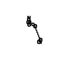 C=CC(=O)OCCCCCCCCCCCOc1ccc(-c2cc3cnccc3oc2=O)cc1